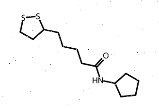 O=C(CCCCC1CCSS1)NC1CCCC1